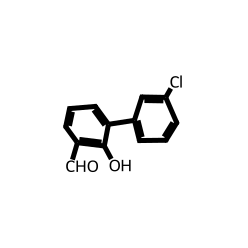 O=Cc1cccc(-c2cccc(Cl)c2)c1O